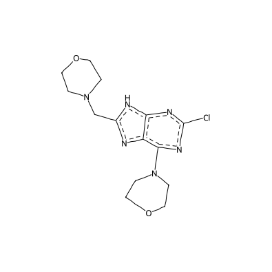 Clc1nc(N2CCOCC2)c2nc(CN3CCOCC3)[nH]c2n1